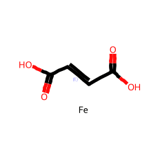 O=C(O)/C=C/C(=O)O.[Fe]